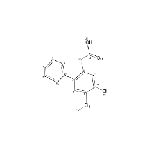 COc1cc(-c2ccccc2)c(CC(=O)O)cc1Cl